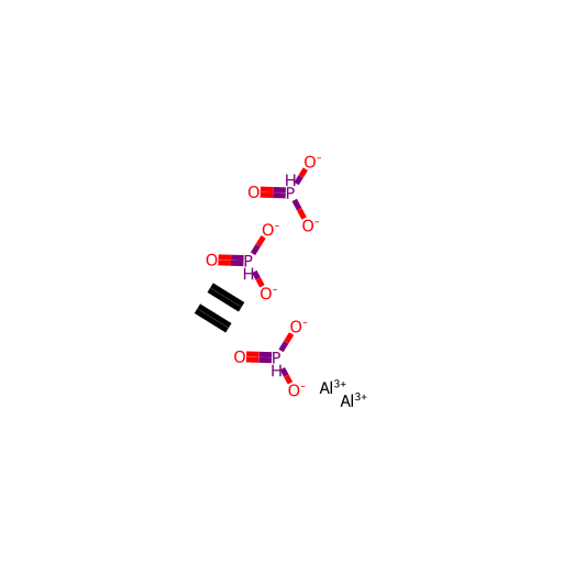 C=C.C=C.O=[PH]([O-])[O-].O=[PH]([O-])[O-].O=[PH]([O-])[O-].[Al+3].[Al+3]